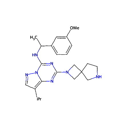 COc1cccc(C(C)Nc2nc(N3CC4(CCNC4)C3)nc3c(C(C)C)cnn23)c1